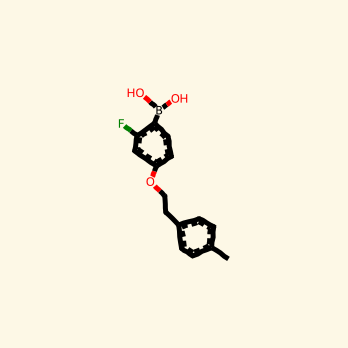 Cc1ccc(CCOc2ccc(B(O)O)c(F)c2)cc1